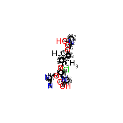 Cc1c(COc2cc(OCc3cncc(C#N)c3)c(CN3CCCCC3C(=O)O)cc2Cl)cccc1-c1cccc(OCCCN2CCCC[C@H]2C(=O)O)c1C